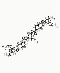 C=CC(=O)OC(CCC)Oc1ccc2cc(C(=O)Oc3ccc(OC(=O)c4ccc5cc(OC(CCC)OC(=O)C=C)ccc5c4)c(C)c3)ccc2c1